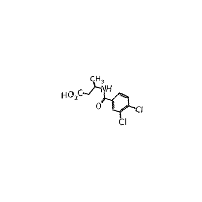 CC(CC(=O)O)NC(=O)c1ccc(Cl)c(Cl)c1